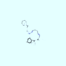 CCCC1C/C=C/CC/C=C/C(=N\OCC(=O)N2CCCCC2)Cc2cc(O)cc(O)c2C(=O)O1